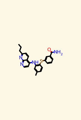 CCCc1ccc2c(Nc3cc(C)ccc3Sc3cccc(C(N)=O)c3)ccnc2n1